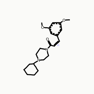 COc1cc(/C=C\C(=O)N2CCN(C3CCCCC3)CC2)cc(OC)c1